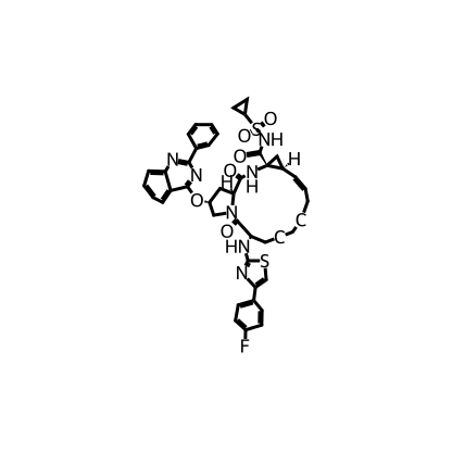 O=C1N[C@]2(C(=O)NS(=O)(=O)C3CC3)C[C@H]2C=CCCCCC[C@H](Nc2nc(-c3ccc(F)cc3)cs2)C(=O)N2C[C@H](Oc3nc(-c4ccccc4)nc4ccccc34)C[C@@H]12